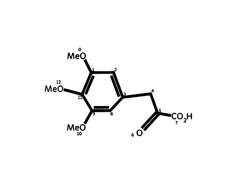 COc1cc(CC(=O)C(=O)O)cc(OC)c1OC